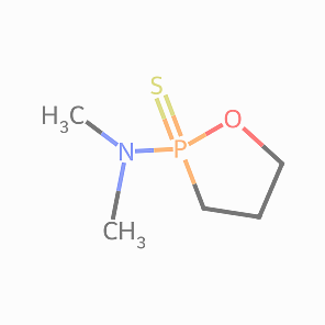 CN(C)P1(=S)CCCO1